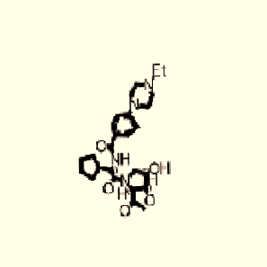 CCN1CCN(c2ccc(C(=O)N[C@H](C(=O)N3C[C@@H](O)[C@H]4OCC(=O)[C@H]43)C3CCCC3)cc2)CC1